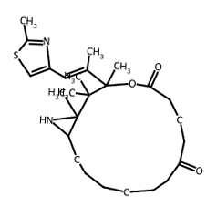 CC(=Cc1csc(C)n1)C1(C)OC(=O)CCCC(=O)CCCCCCC2NC2(C)C1(C)C